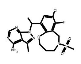 Cc1nn(C(C)c2cc(Cl)c(F)c3c2OCCCN(S(C)(=O)=O)C3)c2ncnc(N)c12